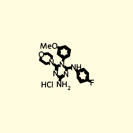 COc1cccc(N2C(N3CCOCC3)=NC(N)=NC2Nc2ccc(F)cc2)c1.Cl